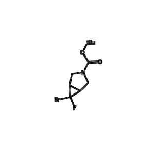 CC(C)(C)OC(=O)N1CC2C(C1)C2(F)Br